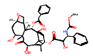 CC1=C2[C@@H](O)C(=O)[C@@]3(C)[C@H]([C@H](OC(=O)c4ccccc4)[C@](O)(C[C@@H]1OC(=O)[C@H](O)[C@@H](NC(=O)OC(C)(C)C)c1ccccc1)C2(C)C)[C@]1(C)CO[C@@H]1C[C@@H]3O